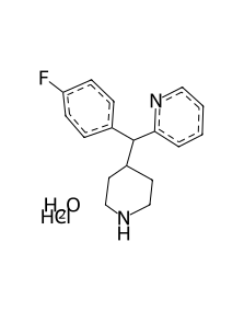 Cl.Fc1ccc(C(c2ccccn2)C2CCNCC2)cc1.O